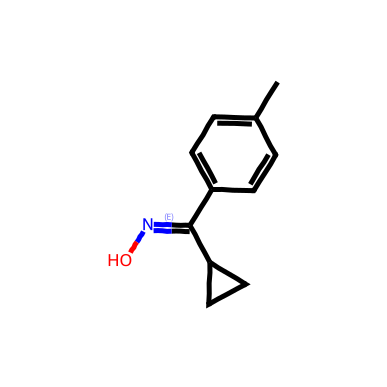 Cc1ccc(/C(=N/O)C2CC2)cc1